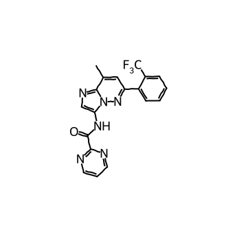 Cc1cc(-c2ccccc2C(F)(F)F)nn2c(NC(=O)c3ncccn3)cnc12